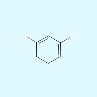 OC1=CC(O)=CC[CH]1